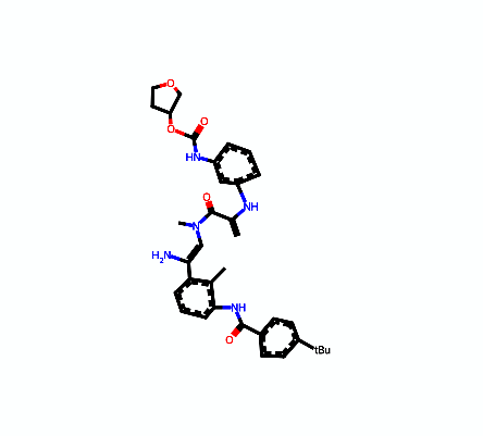 C=C(Nc1cccc(NC(=O)OC2CCOC2)c1)C(=O)N(C)/C=C(\N)c1cccc(NC(=O)c2ccc(C(C)(C)C)cc2)c1C